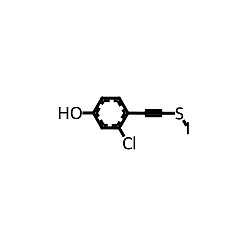 Oc1ccc(C#CSI)c(Cl)c1